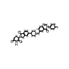 Cc1ccc(-n2cnc3ccc(CN4CCC(c5ccc6c(c5)CN(C5CCC(=O)NC5=O)C6=O)CC4)cc3c2=O)cn1